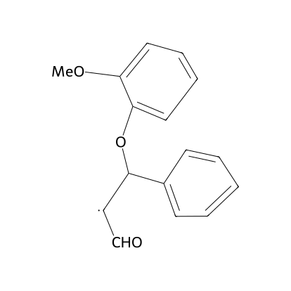 COc1ccccc1OC([CH]C=O)c1ccccc1